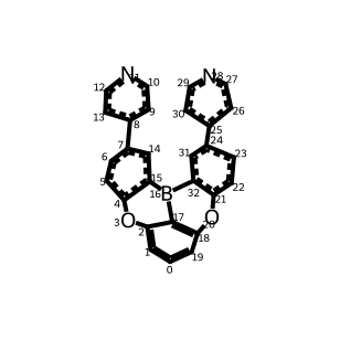 C1=C=C2Oc3ccc(-c4ccncc4)cc3B3C2=C(C=1)Oc1ccc(-c2ccncc2)cc13